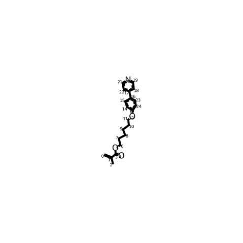 C=C(C)C(=O)OCCCCCCOc1ccc(-c2ccncc2)cc1